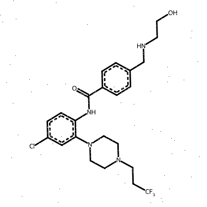 O=C(Nc1ccc(Cl)cc1N1CCN(CCC(F)(F)F)CC1)c1ccc(CNCCO)cc1